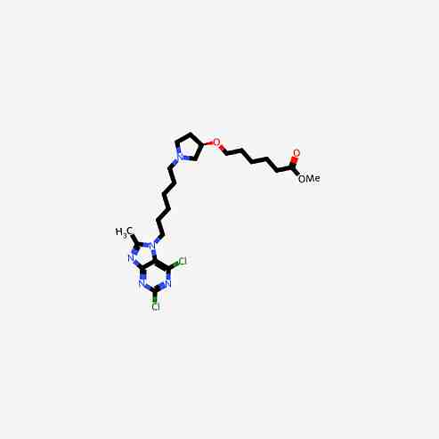 COC(=O)CCCCCO[C@@H]1CCN(CCCCCCn2c(C)nc3nc(Cl)nc(Cl)c32)C1